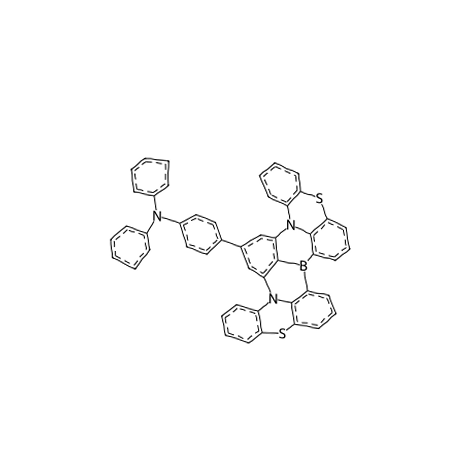 c1ccc(N(c2ccccc2)c2ccc(-c3cc4c5c(c3)N3c6ccccc6Sc6cccc(c63)B5c3cccc5c3N4c3ccccc3S5)cc2)cc1